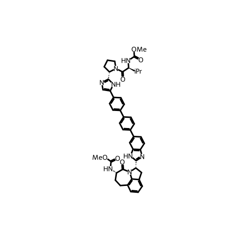 COC(=O)N[C@H]1CCc2cccc3c2N(C1=O)[C@H](c1nc2ccc(-c4ccc(-c5ccc(-c6cnc([C@@H]7CCCN7C(=O)[C@@H](NC(=O)OC)C(C)C)[nH]6)cc5)cc4)cc2[nH]1)C3